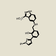 CC(C)n1ccc(-c2cccc(CNc3ccc4[nH]nc(C(=O)O)c4c3)c2O)n1